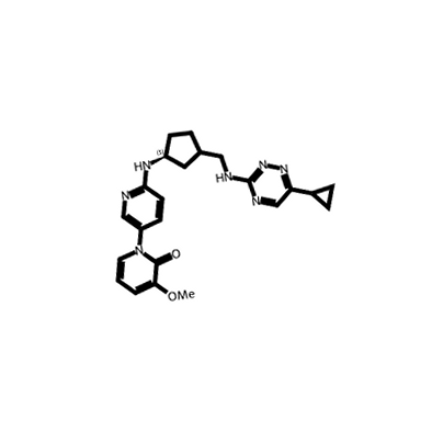 COc1cccn(-c2ccc(N[C@H]3CCC(CNc4ncc(C5CC5)nn4)C3)nc2)c1=O